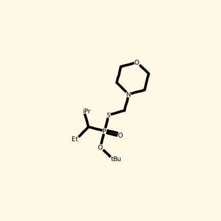 CCC(C(C)C)P(=O)(OC(C)(C)C)SCN1CCOCC1